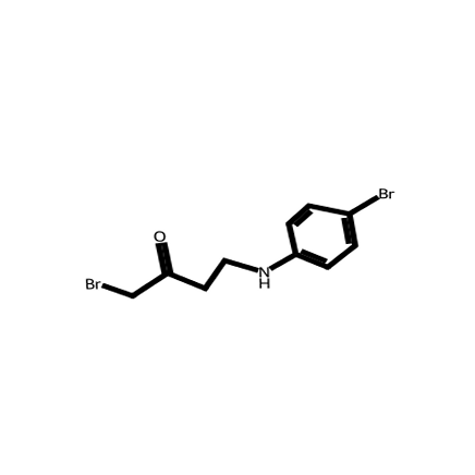 O=C(CBr)CCNc1ccc(Br)cc1